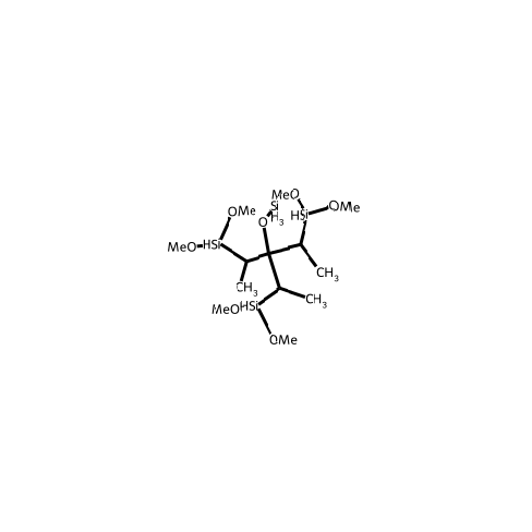 CO[SiH](OC)C(C)C(O[SiH3])(C(C)[SiH](OC)OC)C(C)[SiH](OC)OC